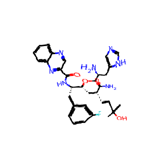 CC(C)(O)CC[C@H](C[C@@H](OC(=O)[C@@H](N)Cc1cnc[nH]1)[C@H](Cc1cccc(F)c1)NC(=O)c1cnc2ccccc2n1)C(N)=O